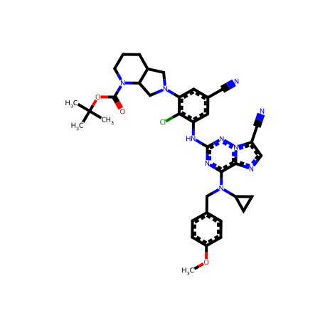 COc1ccc(CN(c2nc(Nc3cc(C#N)cc(N4CC5CCCN(C(=O)OC(C)(C)C)C5C4)c3Cl)nn3c(C#N)cnc23)C2CC2)cc1